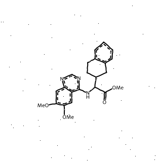 COC(=O)C(Nc1ncnc2cc(OC)c(OC)cc12)C1CCc2ccccc2C1